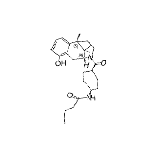 CCCC(=O)N[C@H]1CC[C@@H](C(=O)N2CC[C@@]3(C)c4cccc(O)c4C[C@@H]2C3(C)C)CC1